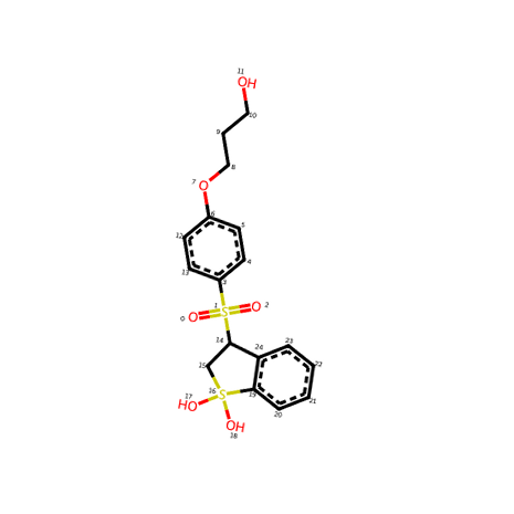 O=S(=O)(c1ccc(OCCCO)cc1)C1CS(O)(O)c2ccccc21